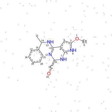 CCOc1cc2c([nH]1)NC(=C=O)N=C2NC(C)c1ccccc1